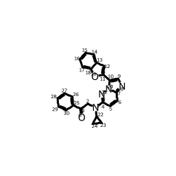 O=C(CN(c1ccc2ncc(-c3cc4ccccc4o3)n2n1)C1CC1)c1ccccc1